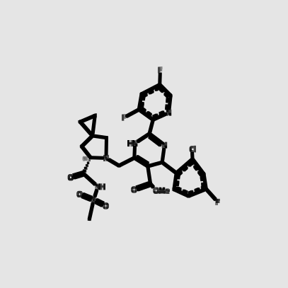 COC(=O)C1=C(CN2CC3(CC3)C[C@H]2C(=O)NS(C)(=O)=O)NC(c2ncc(F)cc2F)=NC1c1ccc(F)cc1Cl